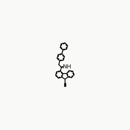 C#CC1c2ccccc2-c2c(C(=N)Cc3ccc(-c4ccccc4)cc3)cccc21